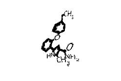 CCc1ccc(Oc2ccccc2-c2cc(C(N)=O)c(C)[nH]2)cc1